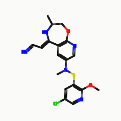 COc1ncc(Cl)cc1SN(C)c1cnc2c(c1)/C(=C/C=N)NC(C)CO2